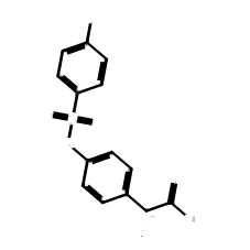 C[C@@H](C(N)=O)c1ccc(NS(=O)(=O)c2ccc(Cl)cc2)cc1